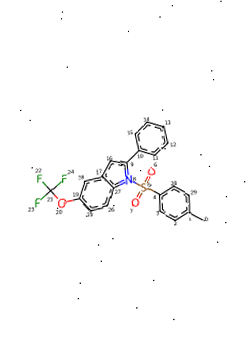 Cc1ccc(S(=O)(=O)n2c(-c3ccccc3)cc3cc(OC(F)(F)F)ccc32)cc1